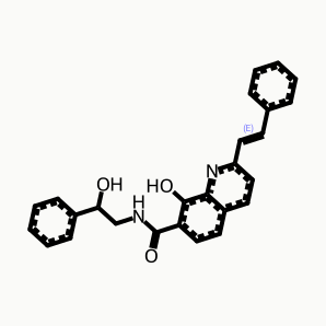 O=C(NCC(O)c1ccccc1)c1ccc2ccc(/C=C/c3ccccc3)nc2c1O